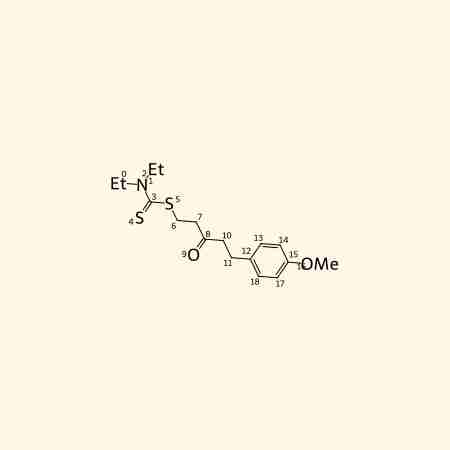 CCN(CC)C(=S)SCCC(=O)CCc1ccc(OC)cc1